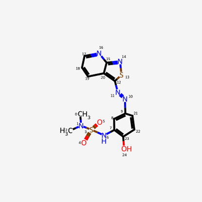 CN(C)S(=O)(=O)Nc1cc(/N=N/c2snc3ncccc23)ccc1O